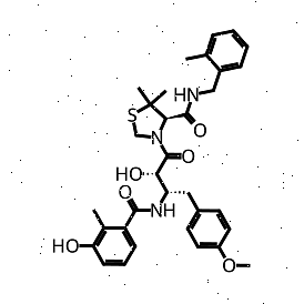 COc1ccc(C[C@H](NC(=O)c2cccc(O)c2C)[C@H](O)C(=O)N2CSC(C)(C)[C@H]2C(=O)NCc2ccccc2C)cc1